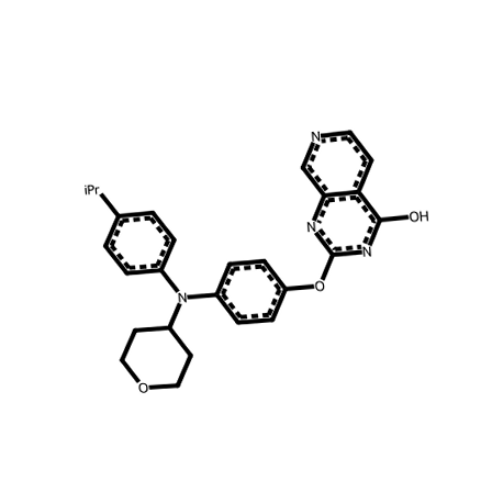 CC(C)c1ccc(N(c2ccc(Oc3nc(O)c4ccncc4n3)cc2)C2CCOCC2)cc1